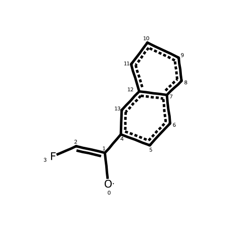 [O]C(=CF)c1ccc2ccccc2c1